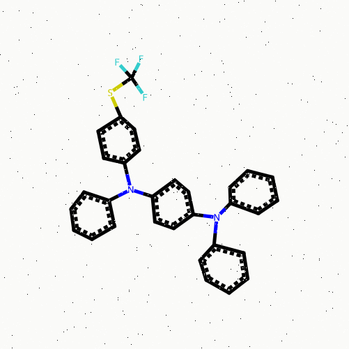 FC(F)(F)Sc1ccc(N(c2ccccc2)c2ccc(N(c3ccccc3)c3ccccc3)cc2)cc1